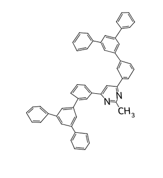 Cc1nc(-c2cccc(-c3cc(-c4ccccc4)cc(-c4ccccc4)c3)c2)cc(-c2cccc(-c3cc(-c4ccccc4)cc(-c4ccccc4)c3)c2)n1